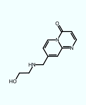 O=c1ccnc2cc(CNCCO)ccn12